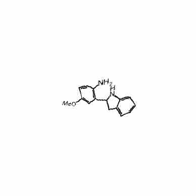 COc1ccc(N)c(C2Cc3ccccc3N2)c1